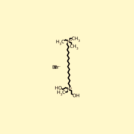 CC[N+](CC)(CC)CCCCCCCCCCCCCCCC[N+](CC)(CCO)CCO.[Br-].[Br-]